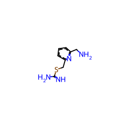 N=C(N)SCc1cccc(CN)n1